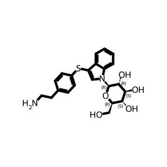 NCCc1ccc(Sc2cn([C@@H]3O[C@H](CO)[C@@H](O)[C@H](O)[C@H]3O)c3ccccc23)cc1